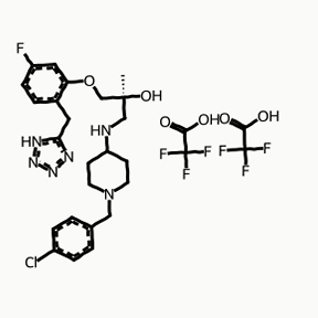 C[C@](O)(CNC1CCN(Cc2ccc(Cl)cc2)CC1)COc1cc(F)ccc1Cc1nnn[nH]1.O=C(O)C(F)(F)F.O=C(O)C(F)(F)F